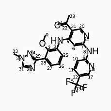 COc1c(Nc2cc(Nc3ccc(C(F)(F)F)cn3)ncc2C(C)=O)cccc1-c1ncn(C)n1